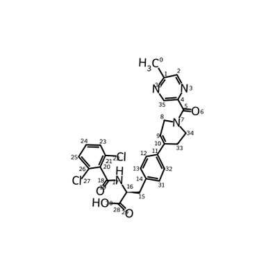 Cc1cnc(C(=O)N2CC=C(c3ccc(C[C@H](NC(=O)c4c(Cl)cccc4Cl)C(=O)O)cc3)CC2)cn1